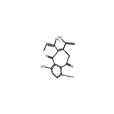 C=C(O)C1=C(/C(N)=C\C)C(=O)c2c(O)ccc(N)c2C(=O)C1